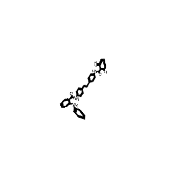 O=C(Nc1ccc(C[CH]c2ccc(NC(=O)c3c(Cl)cccc3Cl)cc2)cc1)c1ccccc1Nc1ccccc1